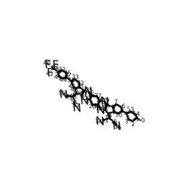 Cc1ccc(-c2ccc3c(c2)C(=C(C#N)C#N)c2nc4cc5nc6c(nc5cc4nc2-3)-c2ccc(-c3ccc(C(F)(F)F)cc3)cc2C6=C(C#N)C#N)cc1